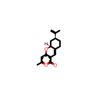 C=C(C)[C@H]1CCC2=Cc3c(cc(C)oc3=O)O[C@H]2C1